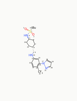 CC(C)(C)S(=O)(=O)N[C@H]1CC[C@H](CNc2ccc(C(F)(F)F)c(-n3cccn3)c2)CC1